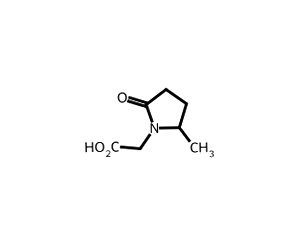 CC1CCC(=O)N1CC(=O)O